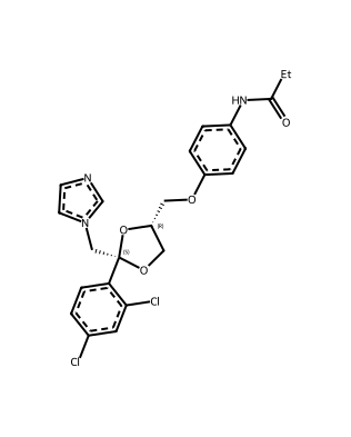 CCC(=O)Nc1ccc(OC[C@@H]2CO[C@@](Cn3ccnc3)(c3ccc(Cl)cc3Cl)O2)cc1